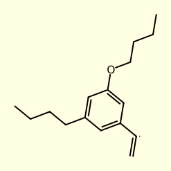 C=[C]c1cc(CCCC)cc(OCCCC)c1